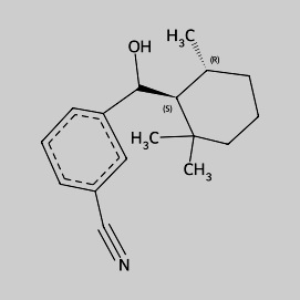 C[C@@H]1CCCC(C)(C)[C@H]1C(O)c1cccc(C#N)c1